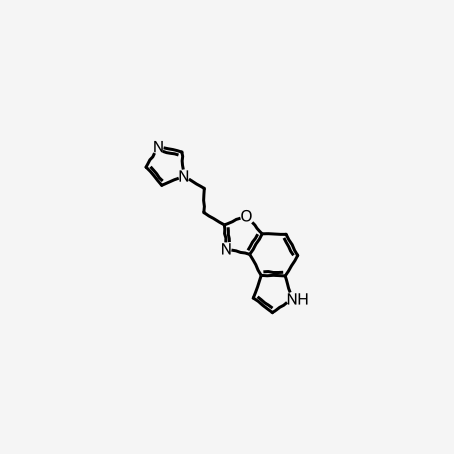 c1cn(CCc2nc3c(ccc4[nH]ccc43)o2)cn1